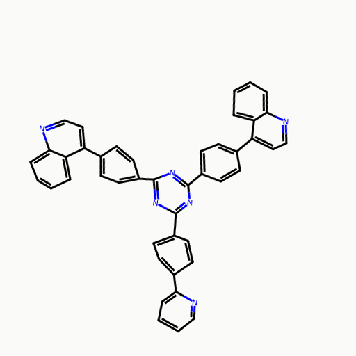 c1ccc(-c2ccc(-c3nc(-c4ccc(-c5ccnc6ccccc56)cc4)nc(-c4ccc(-c5ccnc6ccccc56)cc4)n3)cc2)nc1